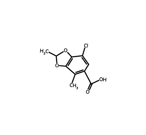 Cc1c(C(=O)O)cc(Cl)c2c1OC(C)O2